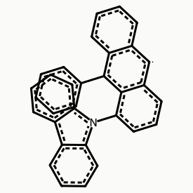 [c]1c2ccccc2c(-c2ccccc2)c2c(-n3c4ccccc4c4ccccc43)cccc12